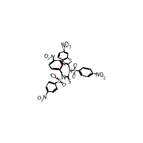 O=[N+]([O-])c1ccc(N(C(=S)N(c2nc3ccc([N+](=O)[O-])cc3s2)S(=O)(=O)c2ccc([N+](=O)[O-])cc2)S(=O)(=O)c2ccc([N+](=O)[O-])cc2)cc1